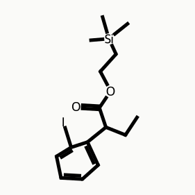 CCC(C(=O)OCC[Si](C)(C)C)c1ccccc1I